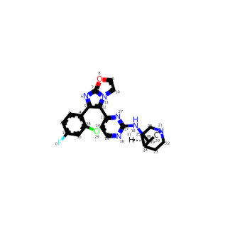 Fc1ccc(-c2nc3occn3c2-c2ccnc(N[C@H]3CN4CCC3CC4)n2)c(Cl)c1